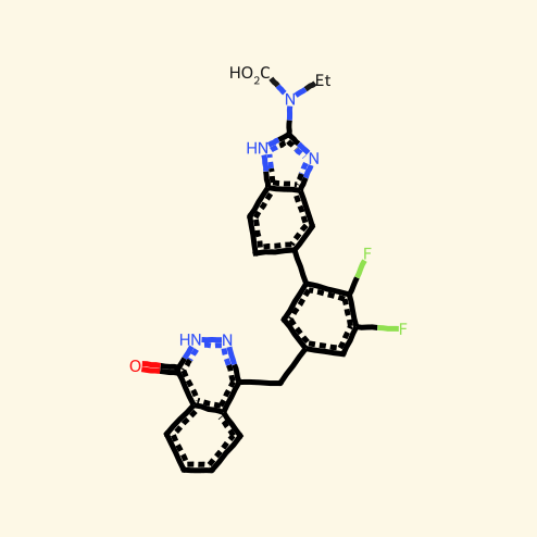 CCN(C(=O)O)c1nc2cc(-c3cc(Cc4n[nH]c(=O)c5ccccc45)cc(F)c3F)ccc2[nH]1